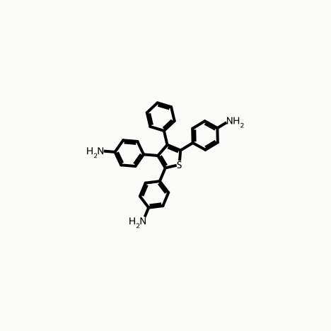 Nc1ccc(-c2sc(-c3ccc(N)cc3)c(-c3ccc(N)cc3)c2-c2ccccc2)cc1